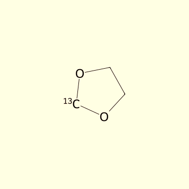 C1CO[13CH2]O1